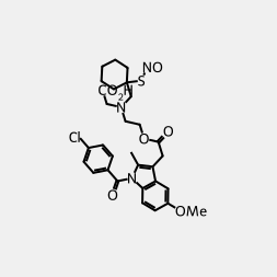 COc1ccc2c(c1)c(CC(=O)OCCN(CC(=O)O)CC1(SN=O)CCCCC1)c(C)n2C(=O)c1ccc(Cl)cc1